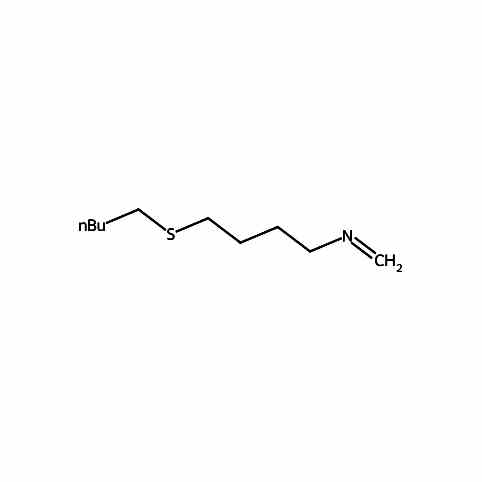 C=NCCCCSCCCCC